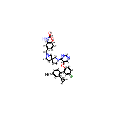 N#Cc1ccc(-c2cc(F)ccc2Oc2cncnc2N2CCC3(CCN(Cc4ccc5oc(=O)[nH]c5c4)C3)C2)c(C2CC2)c1